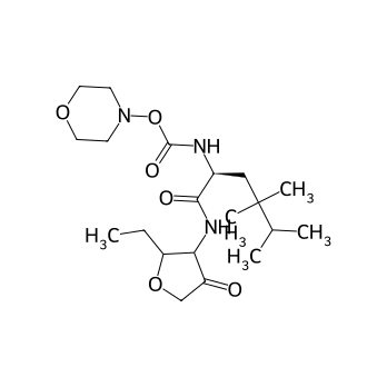 CCC1OCC(=O)C1NC(=O)[C@H](CC(C)(C)C(C)C)NC(=O)ON1CCOCC1